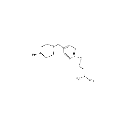 CC(C)N1CCN(Cc2ccc(OCCN(C)C)cc2)CC1